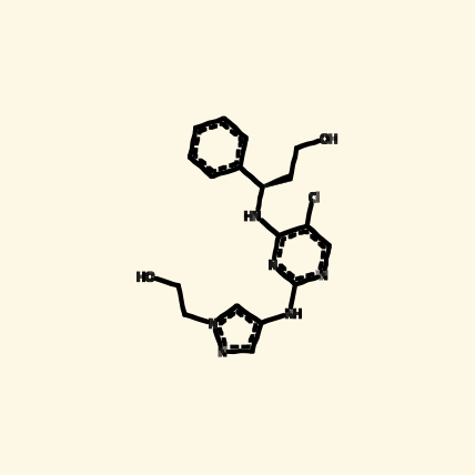 OCC[C@@H](Nc1nc(Nc2cnn(CCO)c2)ncc1Cl)c1ccccc1